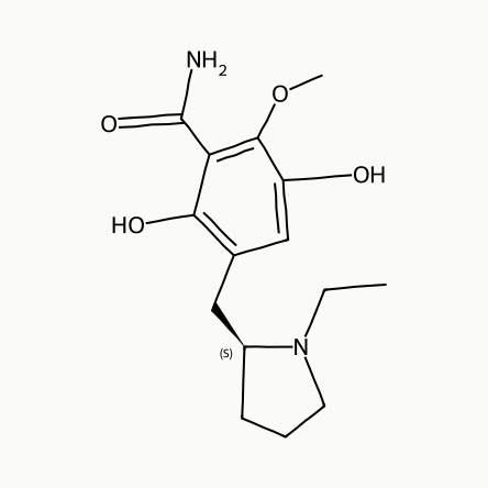 CCN1CCC[C@H]1Cc1cc(O)c(OC)c(C(N)=O)c1O